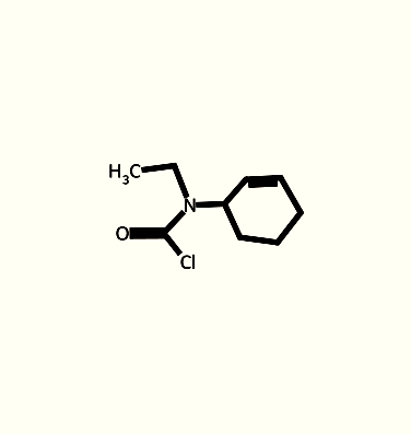 CCN(C(=O)Cl)C1C=CCCC1